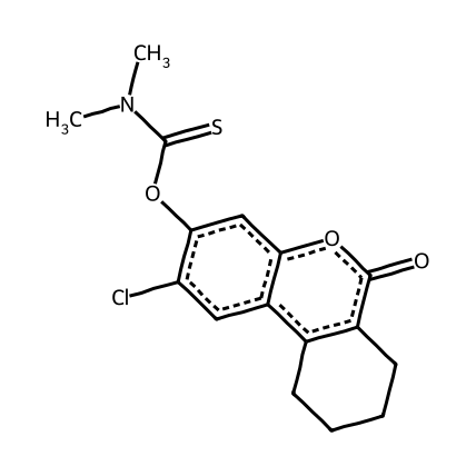 CN(C)C(=S)Oc1cc2oc(=O)c3c(c2cc1Cl)CCCC3